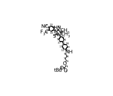 CC(C)(C)OC(=O)COCCCCNc1ccc(-c2ccc(N3C(=S)N(c4ccc(C#N)c(C(F)(F)F)c4)C(=N)C3(C)C)cc2)cc1